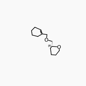 C1=C(COC[C@H]2CCCCO2)CCCC1